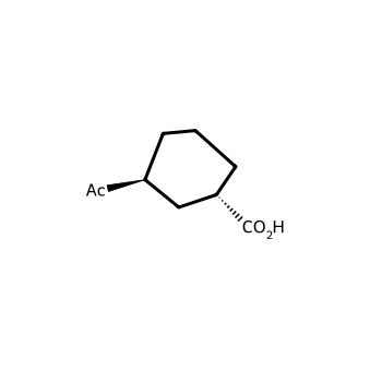 CC(=O)[C@H]1CCC[C@H](C(=O)O)C1